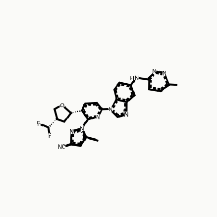 Cc1ccc(Nc2ccc3c(c2)ncn3-c2ccc([C@@H]3C[C@H](C(F)F)CO3)c(-n3nc(C#N)cc3C)n2)nn1